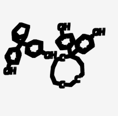 Oc1ccc(C2(c3ccc(O)cc3)CC3CCC2C3)cc1.Oc1ccc(C2(c3ccc(O)cc3)CCCCCCCCCCC2)cc1